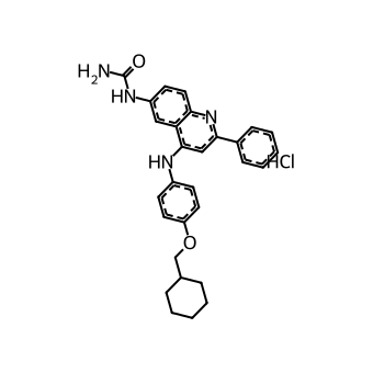 Cl.NC(=O)Nc1ccc2nc(-c3ccccc3)cc(Nc3ccc(OCC4CCCCC4)cc3)c2c1